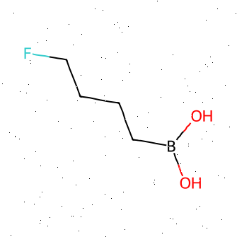 OB(O)CCCCF